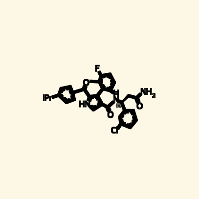 Cc1c(F)ccc(F)c1-c1c(C(=O)N[C@@H](CC(N)=O)c2cccc(Cl)c2)c[nH]c1C(=O)c1ccc(C(C)C)cc1